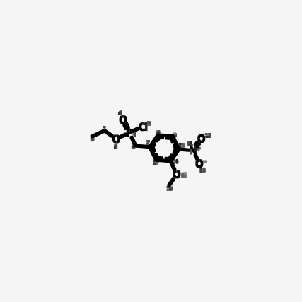 CCOP(=O)(Cl)Cc1ccc([N+](=O)[O-])c(OC)c1